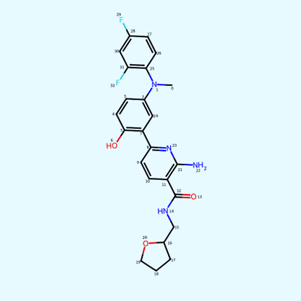 CN(c1ccc(O)c(-c2ccc(C(=O)NCC3CCCO3)c(N)n2)c1)c1ccc(F)cc1F